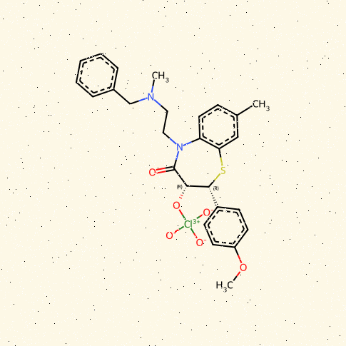 COc1ccc([C@H]2Sc3cc(C)ccc3N(CCN(C)Cc3ccccc3)C(=O)[C@H]2O[Cl+3]([O-])([O-])[O-])cc1